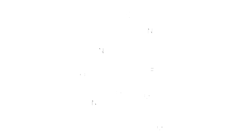 COc1ncc(F)cc1CN1CCOC(C(=O)N(Cc2ccc3c(c2)OCCCO3)CC(C)C)C1